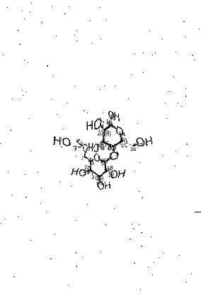 O=S(=O)(O)OC[C@H]1O[C@@H](O[C@H]2[C@H](O)[C@@H](O)[C@H](O)O[C@@H]2CO)[C@H](O)[C@@H](O)[C@H]1O